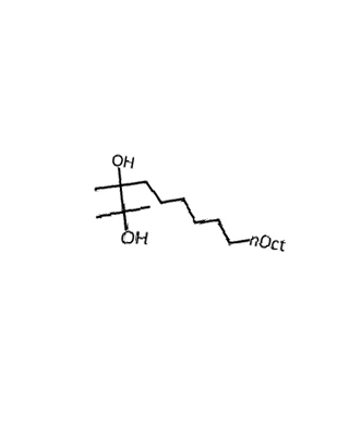 CCCCCCCCCCCCCCC(C)(O)C(C)(C)O